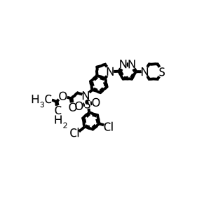 C=C(C)OC(=O)CN(c1ccc2c(c1)CCN2c1ccc(N2CCSCC2)nn1)S(=O)(=O)c1cc(Cl)cc(Cl)c1